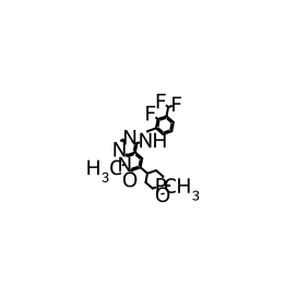 Cn1c(=O)c(C2CCP(C)(=O)CC2)cc2c(NCc3cccc(C(F)F)c3F)ncnc21